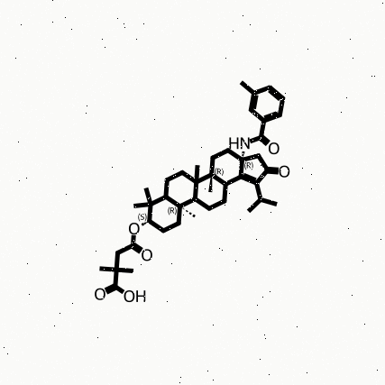 Cc1cccc(C(=O)N[C@@]23CC[C@]4(C)C(CCC5C4(C)CCC4C(C)(C)[C@@H](OC(=O)CC(C)(C)C(=O)O)CC[C@@]45C)C2=C(C(C)C)C(=O)C3)c1